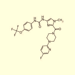 Cn1cc(NC(=O)Nc2ccc(OC(F)(F)F)cc2)nc1C(=O)N1CCN(c2ccc(F)cn2)CC1